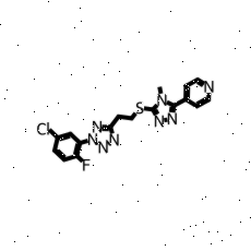 Cn1c(SCCc2nnn(-c3cc(Cl)ccc3F)n2)nnc1-c1ccncc1